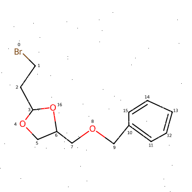 BrCCC1OCC(COCc2ccccc2)O1